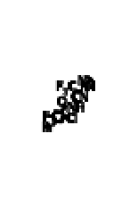 O=C(Nc1cnc(-n2nccn2)c(C(F)(F)F)c1)c1cc(F)c(Br)cc1Cl